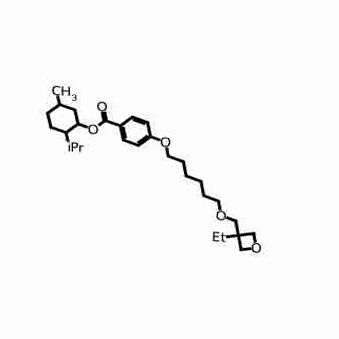 CCC1(COCCCCCCOc2ccc(C(=O)OC3CC(C)CCC3C(C)C)cc2)COC1